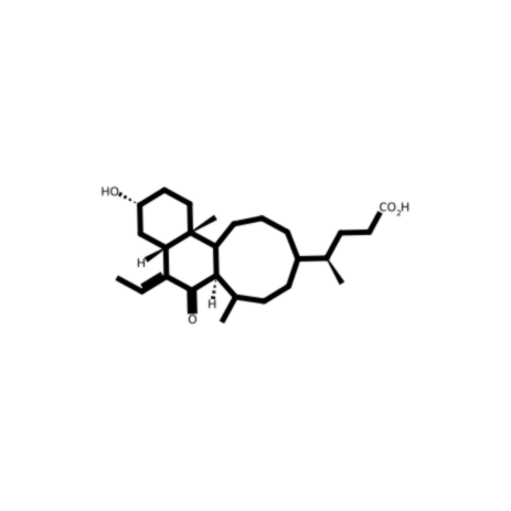 C/C=C1/C(=O)[C@@H]2C(C)CCC([C@H](C)CCC(=O)O)CCCC2[C@@]2(C)CC[C@@H](O)C[C@@H]12